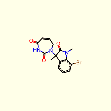 CN1C(=O)C(C)(N2CC=CC(=O)NC2=O)c2cccc(Br)c21